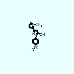 Cn1cccc1-c1cc(O)n(-c2ccc([N+](=O)[O-])cc2)n1